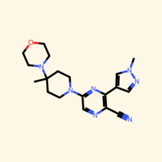 Cn1cc(-c2nc(N3CCC(C)(N4CCOCC4)CC3)cnc2C#N)cn1